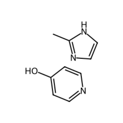 Cc1ncc[nH]1.Oc1ccncc1